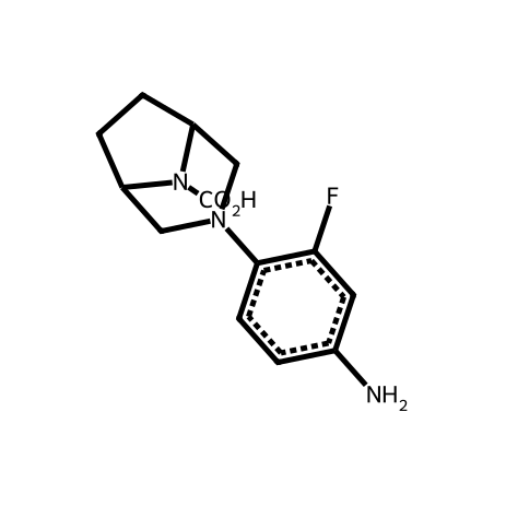 Nc1ccc(N2CC3CCC(C2)N3C(=O)O)c(F)c1